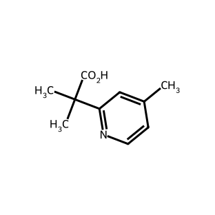 Cc1ccnc(C(C)(C)C(=O)O)c1